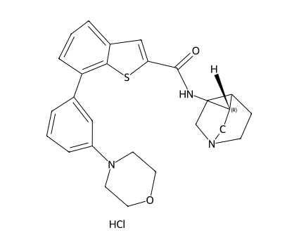 Cl.O=C(N[C@H]1CN2CCC1CC2)c1cc2cccc(-c3cccc(N4CCOCC4)c3)c2s1